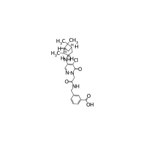 C[C@H]1[C@H]2C[C@H](C[C@H]1Nc1cnn(CC(=O)NCc3cccc(C(=O)O)c3)c(=O)c1Cl)C2(C)C